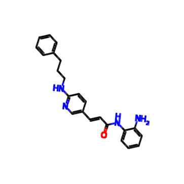 Nc1ccccc1NC(=O)/C=C/c1ccc(NCCCc2ccccc2)nc1